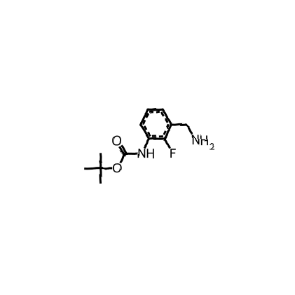 CC(C)(C)OC(=O)Nc1cccc(CN)c1F